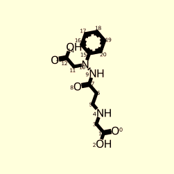 O=C(O)CNCCC(=O)NN(CC(=O)O)c1ccccc1